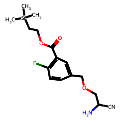 C[Si](C)(C)CCOC(=O)c1cc(COCC(N)C#N)ccc1F